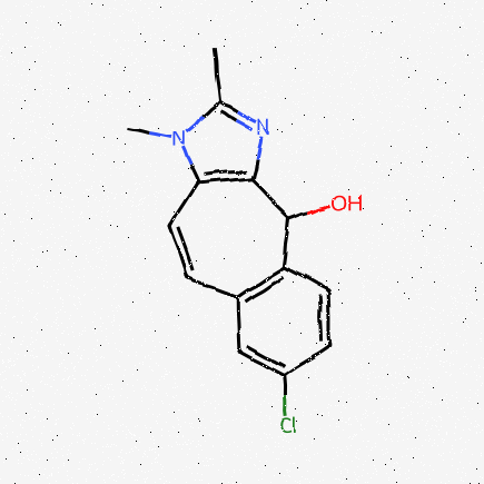 Cc1nc2c(n1C)C=Cc1cc(Cl)ccc1C2O